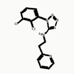 Clc1cccc(-n2nnnc2NCCc2ccccn2)c1Cl